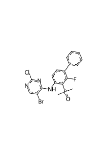 CP(C)(=O)c1c(Nc2nc(Cl)ncc2Br)ccc(-c2ccccc2)c1F